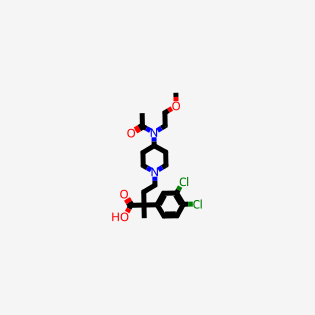 COCCN(C(C)=O)C1CCN(CCC(C)(C(=O)O)c2ccc(Cl)c(Cl)c2)CC1